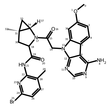 COc1ccc2c3c(N)ncnc3n(CC(=O)N3C(C(=O)Nc4nc(Br)ccc4C)C[C@@]4(C)C[C@H]34)c2c1